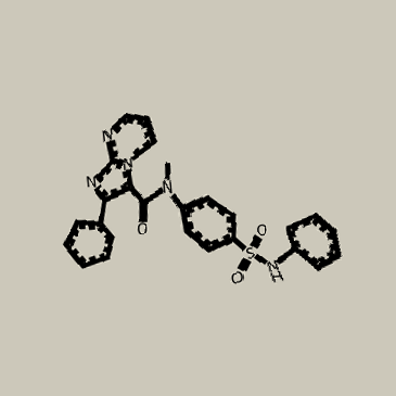 CN(C(=O)c1c(-c2ccccc2)nc2ncccn12)c1ccc(S(=O)(=O)Nc2ccccc2)cc1